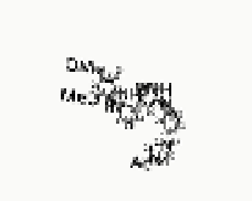 COc1cc(OC)c(F)c(Nc2ncncc2-c2cc(Nc3ccc(CN4CCN(C(C)=O)CC4)cn3)ncn2)c1F